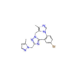 Cc1ncn2c1Cn1nc(Cn3nccc3C)nc1-c1cc(Br)ccc1-2